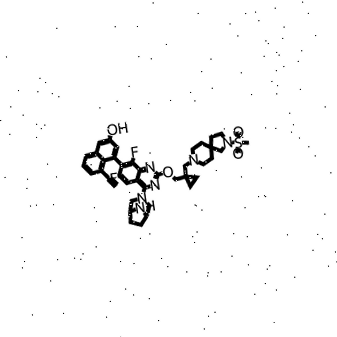 C#Cc1cccc2cc(O)cc(-c3c(F)cc4c(N5CC6CCC(C5)N6)nc(OCC5(CN6CCC7(CC6)CCN(S(C)(=O)=O)C7)CC5)nc4c3F)c12